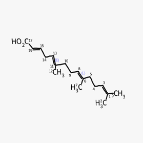 CC(C)=CCC/C(C)=C/CC/C(C)=C/CC=CC(=O)O